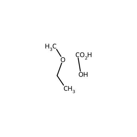 CCOC.O=C(O)O